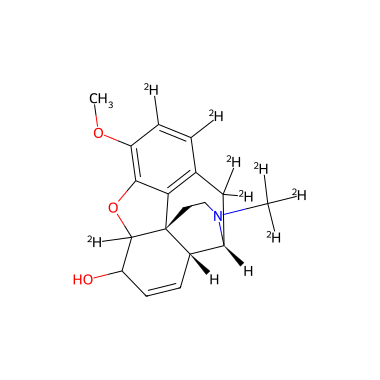 [2H]c1c([2H])c2c3c(c1OC)OC1([2H])C(O)C=C[C@H]4[C@H](N(C([2H])([2H])[2H])CC[C@@]341)C2([2H])[2H]